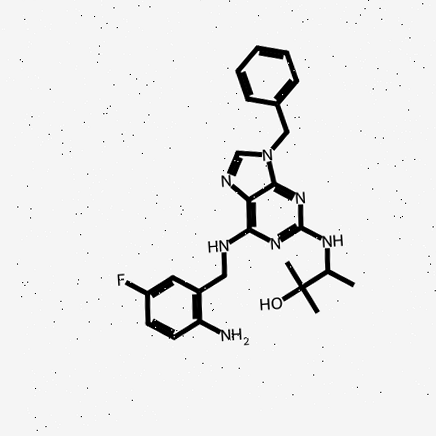 CC(Nc1nc(NCc2cc(F)ccc2N)c2ncn(Cc3ccccc3)c2n1)C(C)(C)O